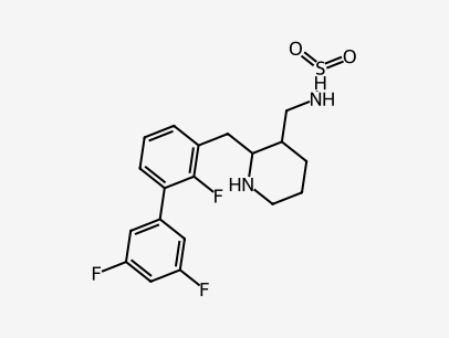 O=[SH](=O)NCC1CCCNC1Cc1cccc(-c2cc(F)cc(F)c2)c1F